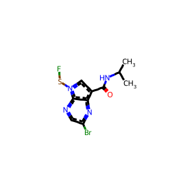 CC(C)NC(=O)c1cn(SF)c2ncc(Br)nc12